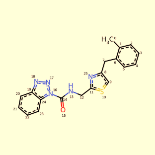 Cc1ccccc1Cc1csc(CNC(=O)n2nnc3ccccc32)n1